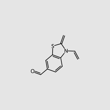 C=CN1C(=C)Sc2cc(C=O)ccc21